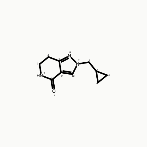 O=C1NCCc2nn(CC3CC3)cc21